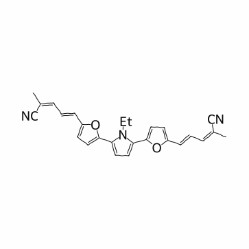 CCn1c(-c2ccc(/C=C/C=C(/C)C#N)o2)ccc1-c1ccc(/C=C/C=C(/C)C#N)o1